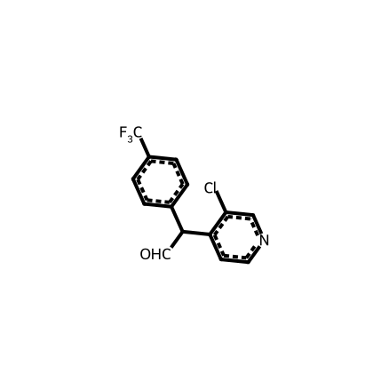 O=CC(c1ccc(C(F)(F)F)cc1)c1ccncc1Cl